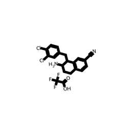 N#Cc1ccc2c(c1)C(Cc1ccc(Cl)c(Cl)c1)C(N)CC2.O=C(O)C(F)(F)F